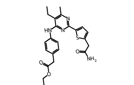 CCOC(=O)Cc1ccc(Nc2nc(-c3ccc(CC(N)=O)s3)nc(C)c2CC)cc1